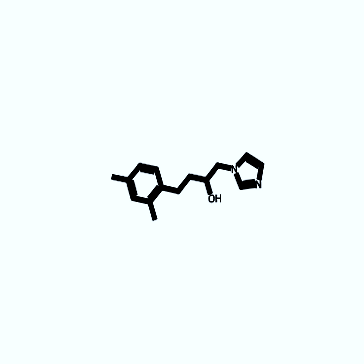 Cc1ccc(CCC(O)Cn2ccnc2)c(C)c1